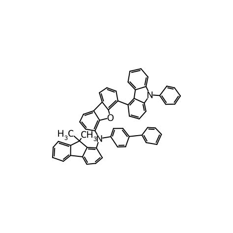 CC1(C)c2ccccc2-c2cccc(N(c3ccc(-c4ccccc4)cc3)c3cccc4c3oc3c(-c5cccc6c5c5ccccc5n6-c5ccccc5)cccc34)c21